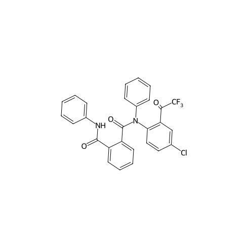 O=C(Nc1ccccc1)c1ccccc1C(=O)N(c1ccccc1)c1ccc(Cl)cc1C(=O)C(F)(F)F